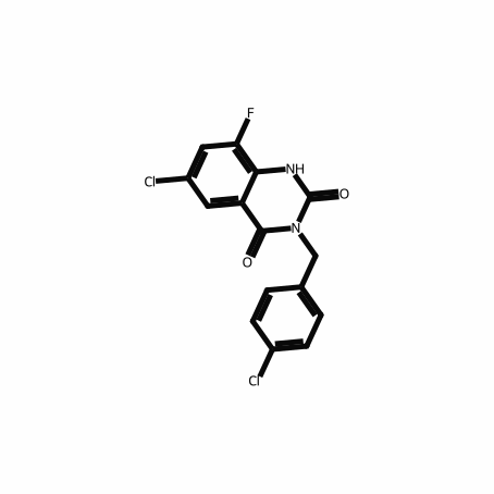 O=c1[nH]c2c(F)cc(Cl)cc2c(=O)n1Cc1ccc(Cl)cc1